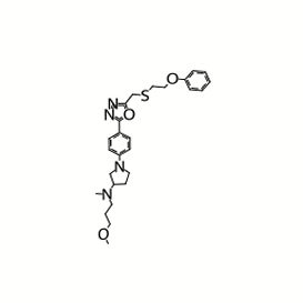 COCCCN(C)C1CCN(c2ccc(-c3nnc(CSCCOc4ccccc4)o3)cc2)C1